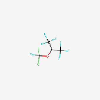 FC(Cl)(Cl)OC(C(F)(F)F)C(F)(F)F